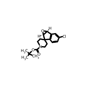 CC(C)(C)OC(=O)N1CCC2(CC1)c1ccc(Cl)cc1[C@@H]1O[C@@H]12